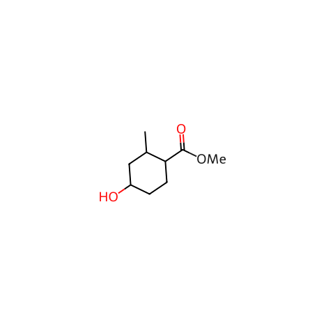 COC(=O)C1CCC(O)CC1C